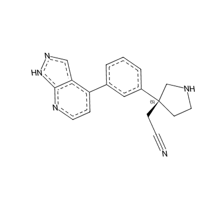 N#CC[C@]1(c2cccc(-c3ccnc4[nH]ncc34)c2)CCNC1